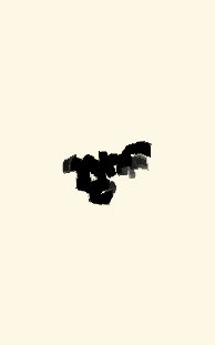 C#CCC(O)(CC(C)(C)c1cc(Cl)cc2c1OCC2)C(F)(F)F